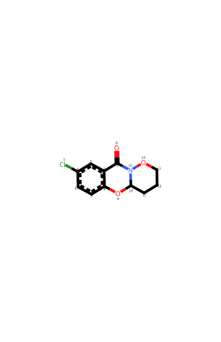 O=C1c2cc(Cl)ccc2OC2CCCON12